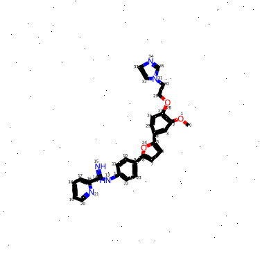 COc1cc(-c2ccc(-c3ccc(NC(=N)c4ccccn4)cc3)o2)ccc1OCCn1ccnc1